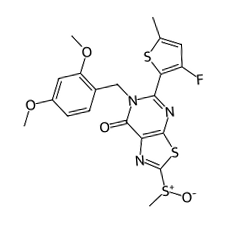 COc1ccc(Cn2c(-c3sc(C)cc3F)nc3sc([S+](C)[O-])nc3c2=O)c(OC)c1